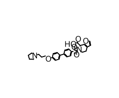 O=C(O)C1c2occc2CCN1S(=O)(=O)c1ccc(-c2ccc(OCCCN3CCCC3)cc2)cc1